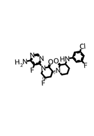 Nc1ncnc(N2C[C@@H](F)C[C@@H](N3CCCC(Nc4cc(F)cc(Cl)c4)C3=O)C2=O)c1F